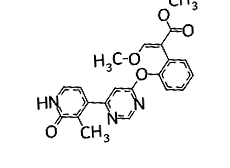 CO/C=C(/C(=O)OC)c1ccccc1Oc1cc(-c2cc[nH]c(=O)c2C)ncn1